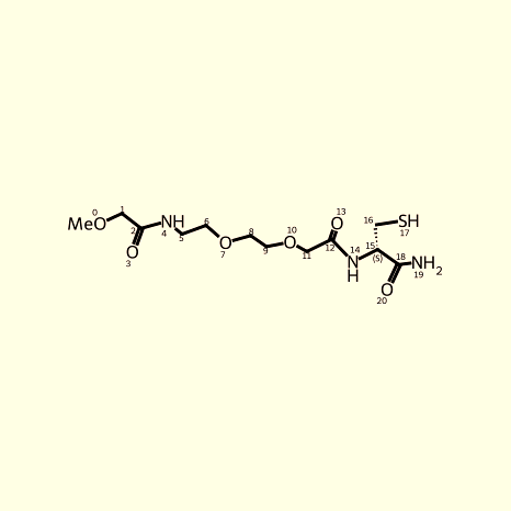 COCC(=O)NCCOCCOCC(=O)N[C@H](CS)C(N)=O